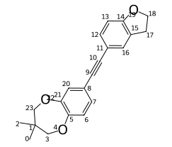 CC1(C)COc2ccc(C#Cc3ccc4c(c3)CCO4)cc2OC1